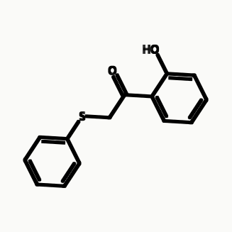 O=C(CSc1ccccc1)c1ccccc1O